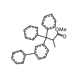 COC(=O)C(C)C(c1ccccc1)(c1ccccc1)c1cccc(-c2ccccc2)c1